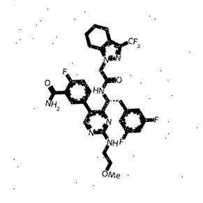 COCCNc1ncc(-c2ccc(F)c(C(N)=O)c2)c([C@@H](Cc2cc(F)cc(F)c2)NC(=O)Cn2nc(C(F)(F)F)c3c2CCCC3)n1